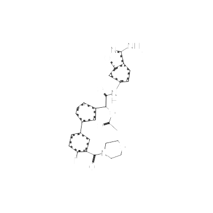 CC(=O)OC(C(=O)Nc1ccc2c(N)noc2c1)c1cccc(-c2ccc(F)c(C(=O)N3CCOCC3)c2)c1